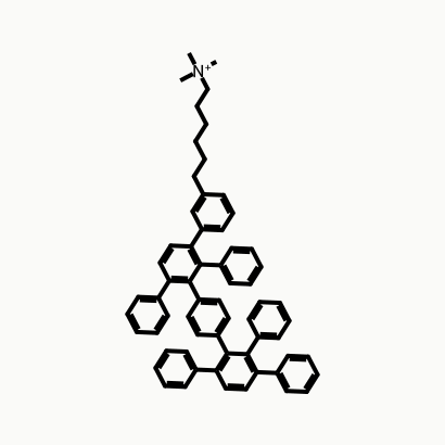 C[N+](C)(C)CCCCCCc1cccc(-c2ccc(-c3ccccc3)c(-c3ccc(-c4c(-c5ccccc5)ccc(-c5ccccc5)c4-c4ccccc4)cc3)c2-c2ccccc2)c1